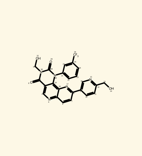 O=c1c2cnc3ccc(-c4ccc(CO)nc4)nc3c2n(-c2cccc(C(F)(F)F)c2)c(=O)n1CO